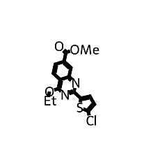 CCOc1nc(-c2ccc(Cl)s2)nc2cc(C(=O)OC)ccc12